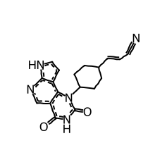 N#CC=CC1CCC(n2c(=O)[nH]c(=O)c3cnc4[nH]ccc4c32)CC1